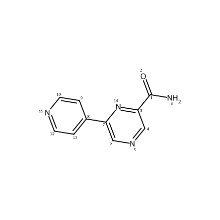 NC(=O)c1cncc(-c2ccncc2)n1